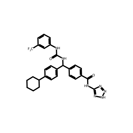 O=C(Nc1cccc(C(F)(F)F)c1)NC(c1ccc(C(=O)Nc2nn[nH]n2)cc1)c1ccc(C2CCCCC2)cc1